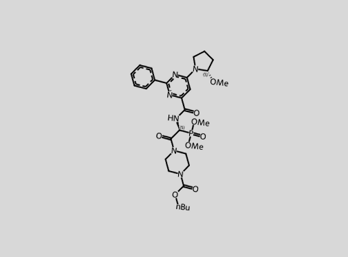 CCCCOC(=O)N1CCN(C(=O)[C@@H](NC(=O)c2cc(N3CCC[C@@H]3OC)nc(-c3ccccc3)n2)P(=O)(OC)OC)CC1